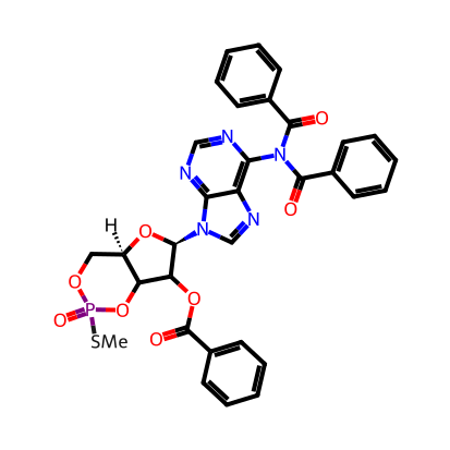 CSP1(=O)OC[C@H]2O[C@@H](n3cnc4c(N(C(=O)c5ccccc5)C(=O)c5ccccc5)ncnc43)C(OC(=O)c3ccccc3)C2O1